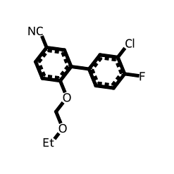 CCOCOc1ccc(C#N)cc1-c1ccc(F)c(Cl)c1